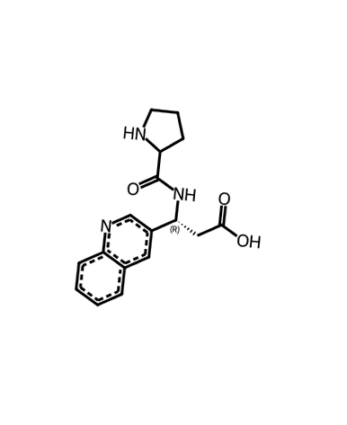 O=C(O)C[C@@H](NC(=O)C1CCCN1)c1cnc2ccccc2c1